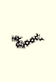 C/C=C/N/C=C(\CCC)c1ccc(-c2ccc(-c3c[nH]c(C4CCCN4C(=O)C(NC(=O)OC)C(C)C)n3)cc2)cc1